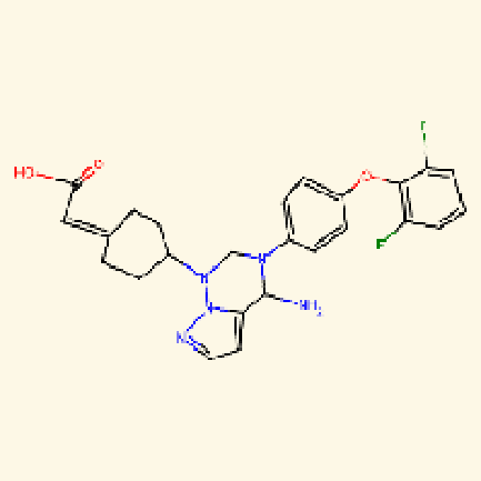 NC1c2ccnn2N(C2CCC(=CC(=O)O)CC2)CN1c1ccc(Oc2c(F)cccc2F)cc1